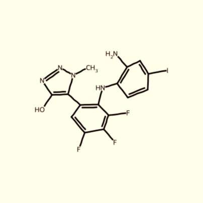 Cn1nnc(O)c1-c1cc(F)c(F)c(F)c1Nc1ccc(I)cc1N